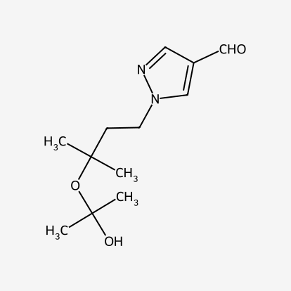 CC(C)(O)OC(C)(C)CCn1cc(C=O)cn1